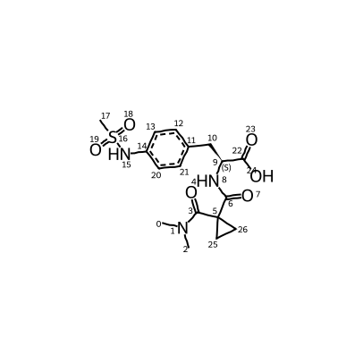 CN(C)C(=O)C1(C(=O)N[C@@H](Cc2ccc(NS(C)(=O)=O)cc2)C(=O)O)CC1